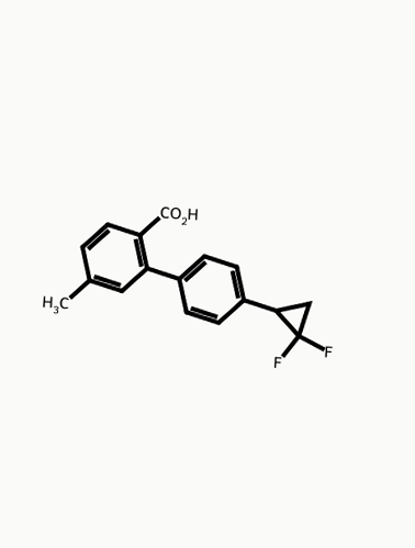 Cc1ccc(C(=O)O)c(-c2ccc(C3CC3(F)F)cc2)c1